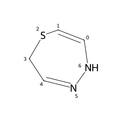 C1=CSCC=NN1